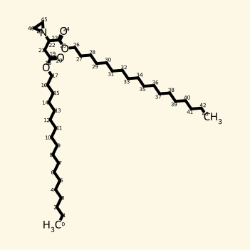 CCCCCCCCCCCCCCCCCCOC(=O)CC(C(=O)OCCCCCCCCCCCCCCCCCC)N1CC1